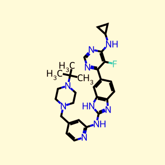 CC(C)(C)N1CCN(Cc2ccnc(Nc3nc4ccc(-c5ncnc(NC6CC6)c5F)cc4[nH]3)c2)CC1